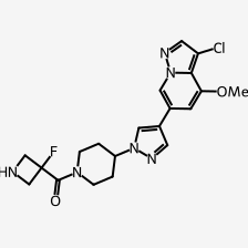 COc1cc(-c2cnn(C3CCN(C(=O)C4(F)CNC4)CC3)c2)cn2ncc(Cl)c12